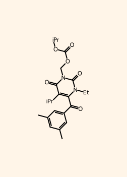 CCn1c(C(=O)c2cc(C)cc(C)c2)c(C(C)C)c(=O)n(COC(=O)OC(C)C)c1=O